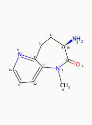 CN1C(=O)[C@H](N)CCc2ncccc21